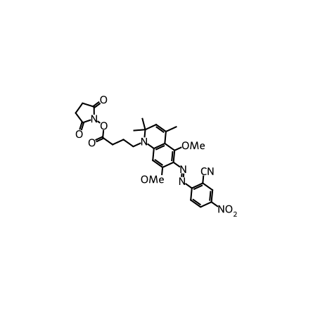 COc1cc2c(c(OC)c1N=Nc1ccc([N+](=O)[O-])cc1C#N)C(C)=CC(C)(C)N2CCCC(=O)ON1C(=O)CCC1=O